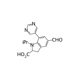 CC(C)N1c2c(cc(C=O)cc2-c2cncnc2)CC1C(=O)O